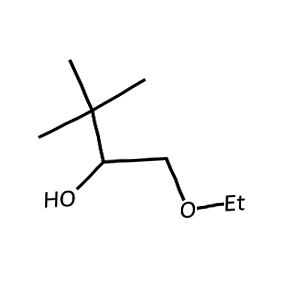 CCOCC(O)C(C)(C)C